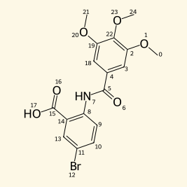 COc1cc(C(=O)Nc2ccc(Br)cc2C(=O)O)cc(OC)c1OC